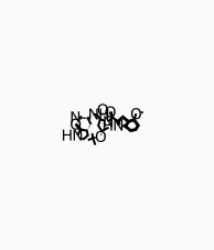 COc1cccc2[nH]c(C(=O)N3C[C@H](OC(C)(C)C)CC3C(=O)N[C@H](C#N)C[C@@H]3CCNC3=O)cc12